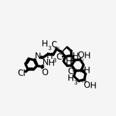 C[C@H](CCc1nc2ccc(Cl)cc2c(=O)[nH]1)[C@H]1CC[C@H]2[C@H]3C(CC[C@]12C)[C@@]1(C)CC[C@@H](O)C[C@H]1C[C@@H]3O